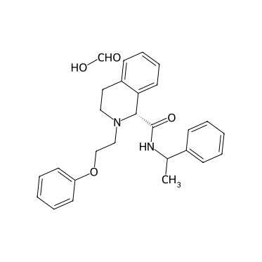 CC(NC(=O)[C@H]1c2ccccc2CCN1CCOc1ccccc1)c1ccccc1.O=CO